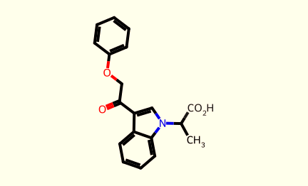 CC(C(=O)O)n1cc(C(=O)COc2ccccc2)c2ccccc21